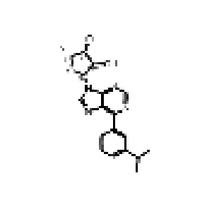 [CH2][C@H]1O[C@@H](n2cnc3c(-c4cccc(C(C)C)c4)ncnc32)[C@H](O)[C@@H]1O